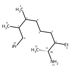 CCC(CCCC(C)C(C)CC(C)C)[C@@H](C)N